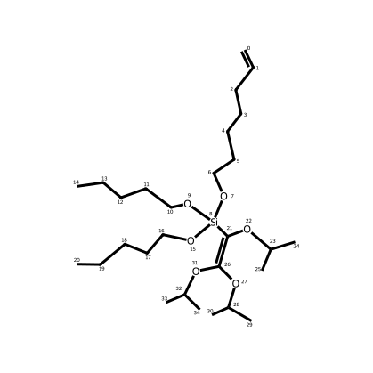 C=CCCCCCO[Si](OCCCCC)(OCCCCC)C(OC(C)C)=C(OC(C)C)OC(C)C